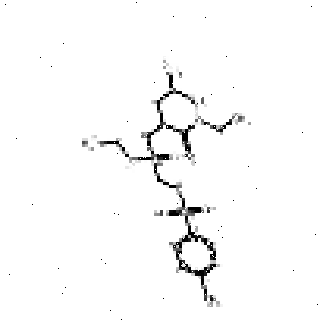 CCOC(=O)C(CC(C)C)CP(=O)(COS(=O)(=O)c1ccc(C)cc1)OCC